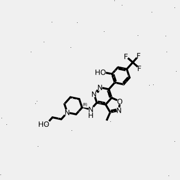 Cc1noc2c(-c3ccc(C(F)(F)F)cc3O)nnc(N[C@@H]3CCCN(CCO)C3)c12